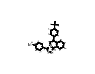 CC(C)(C)c1ccc(-c2cn3c(-c4ccc(Br)cc4)nnc3c3ccccc23)cc1